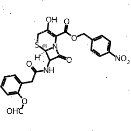 O=COc1ccccc1CC(=O)NC1C(=O)N2C(C(=O)OCc3ccc([N+](=O)[O-])cc3)=C(O)CS[C@H]12